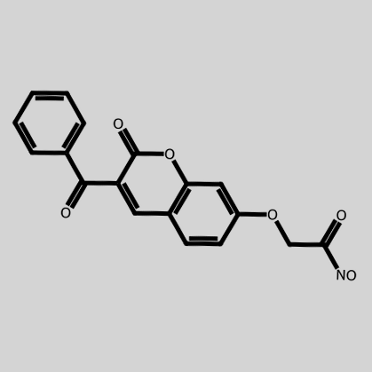 O=NC(=O)COc1ccc2cc(C(=O)c3ccccc3)c(=O)oc2c1